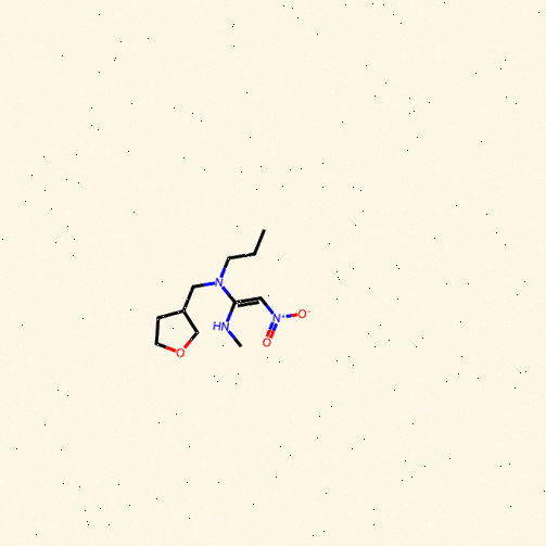 CCCN(CC1CCOC1)C(=C[N+](=O)[O-])NC